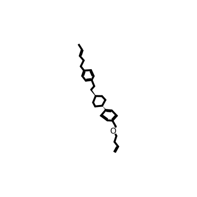 C=CCCOCc1ccc([C@H]2CC[C@H](CCc3ccc(CCC=CC)cc3)CC2)cc1